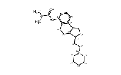 CN(C)C(=O)Oc1cccc2c1CCC1C2CCN1CCN1CCCCC1